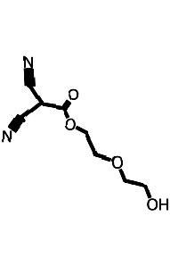 N#CC(C#N)C(=O)OCCOCCO